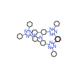 c1ccc(-c2nc(-c3ccccc3)nc(-c3ccc(-c4cccnc4)c(-n4c5cc(-c6nc(-c7ccccc7)nc(-c7ccccc7)n6)ccc5c5ccc(-c6nc(-c7ccccc7)nc(-c7ccccc7)n6)cc54)c3)n2)cc1